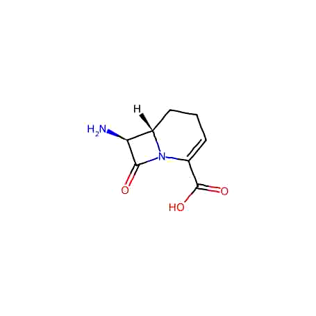 N[C@@H]1C(=O)N2C(C(=O)O)=CCC[C@@H]12